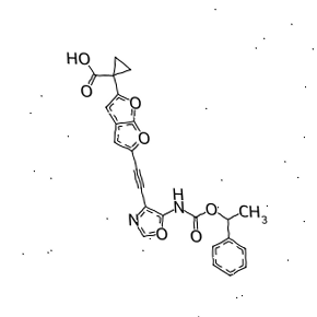 CC(OC(=O)Nc1ocnc1C#Cc1cc2cc(C3(C(=O)O)CC3)oc2o1)c1ccccc1